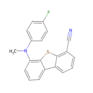 CN(c1ccc(F)cc1)c1cccc2c1sc1c(C#N)cccc12